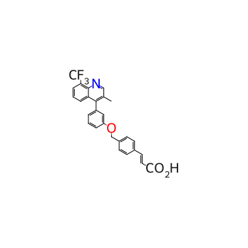 Cc1cnc2c(C(F)(F)F)cccc2c1-c1cccc(OCc2ccc(/C=C/C(=O)O)cc2)c1